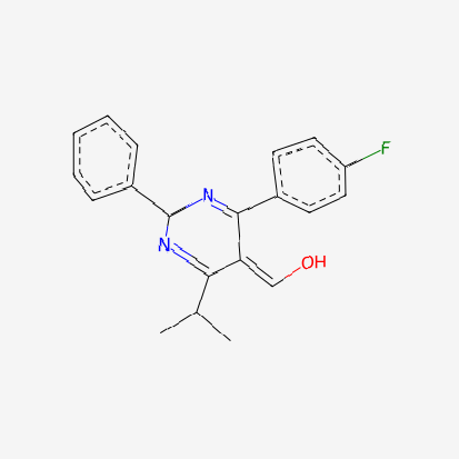 CC(C)C1=NC(c2ccccc2)N=C(c2ccc(F)cc2)/C1=C\O